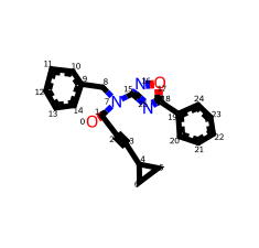 O=C(C#CC1CC1)N(Cc1ccccc1)c1noc(-c2ccccc2)n1